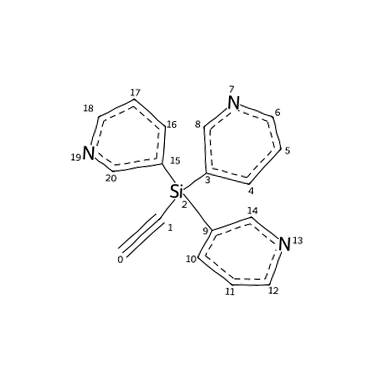 C#C[Si](c1cccnc1)(c1cccnc1)c1cccnc1